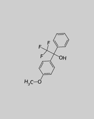 COc1ccc(C(O)(c2ccccc2)C(F)(F)F)cc1